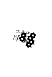 C1=CC2=C(CC1)CCc1c2ccc2ccccc12.Cc1cc2c(cc1C(=O)O)C(C)(C)C=CC2(C)C